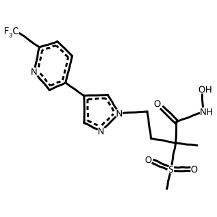 CC(CCn1cc(-c2ccc(C(F)(F)F)nc2)cn1)(C(=O)NO)S(C)(=O)=O